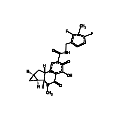 Cc1c(F)ccc(CNC(=O)c2cn3c(c(O)c2=O)C(=O)N(C)[C@@H]2[C@H]4C[C@H]4C[C@@H]23)c1F